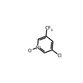 [O-][n+]1[c]c(C(F)(F)F)cc(Cl)c1